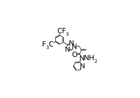 C=C(Cn1cnc(-c2cc(C(F)(F)F)cc(C(F)(F)F)c2)n1)C(=O)N(N)c1ccccn1